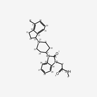 CNC(=O)Cn1c(=O)n(C2CCN(C3CCc4c(C)cccc43)CC2)c2ccccc21